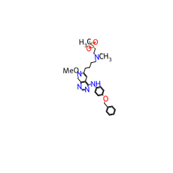 CON1Cc2ncnc(Nc3ccc(OCc4ccccc4)cc3)c2C=C1CCCCN(C)CCS(C)(=O)=O